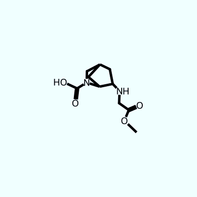 COC(=O)CNC1CC2CC1N(C(=O)O)C2